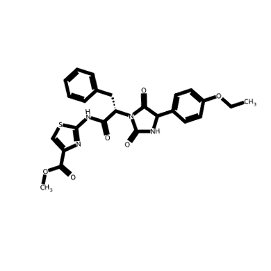 CCOc1ccc(C2NC(=O)N([C@@H](Cc3ccccc3)C(=O)Nc3nc(C(=O)OC)cs3)C2=O)cc1